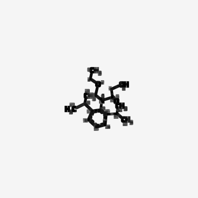 CCOCN(C(=O)CO)c1c(C(C)C)cccc1C(C)C